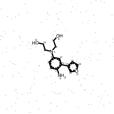 Nc1ccc(N(CCO)CCO)cc1-c1ccoc1